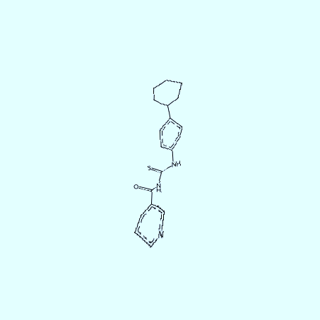 O=C(NC(=S)Nc1ccc(C2CCCCC2)cc1)c1cccnc1